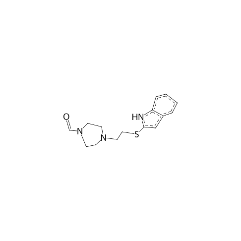 O=CN1CCN(CCSc2cc3ccccc3[nH]2)CC1